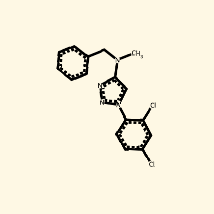 CN(Cc1ccccc1)c1cn(-c2ccc(Cl)cc2Cl)nn1